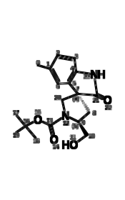 Cc1ccc2c(c1)[C@@]1(C[C@@H](CO)N(C(=O)OC(C)(C)C)C1)C(=O)N2